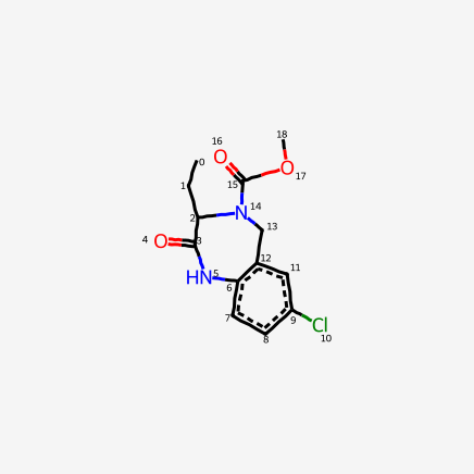 CCC1C(=O)Nc2ccc(Cl)cc2CN1C(=O)OC